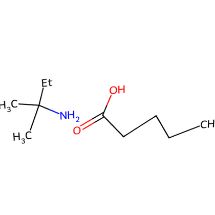 CCC(C)(C)N.CCCCC(=O)O